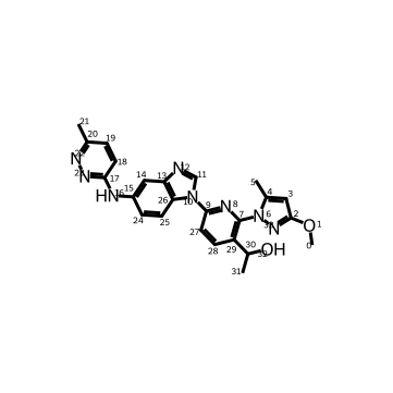 COc1cc(C)n(-c2nc(-n3cnc4cc(Nc5ccc(C)nn5)ccc43)ccc2C(C)O)n1